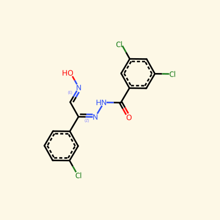 O=C(N/N=C(\C=N\O)c1cccc(Cl)c1)c1cc(Cl)cc(Cl)c1